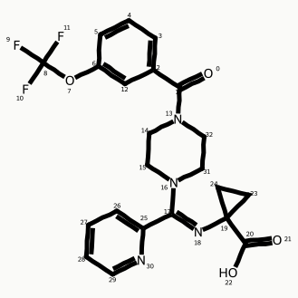 O=C(c1cccc(OC(F)(F)F)c1)N1CCN(C(=NC2(C(=O)O)CC2)c2ccccn2)CC1